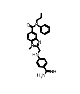 CCCN(C(=O)c1ccc2c(c1)nc(CNc1ccc(C(=N)N)cc1)n2C)c1ccccc1